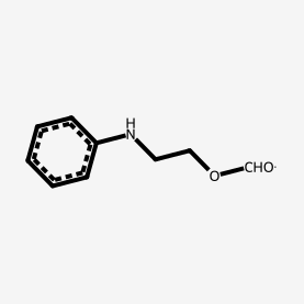 O=[C]OCCNc1ccccc1